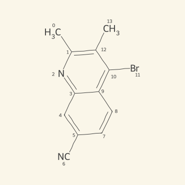 Cc1nc2cc(C#N)ccc2c(Br)c1C